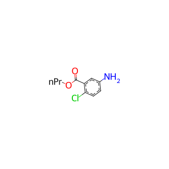 CCCOC(=O)c1cc(N)ccc1Cl